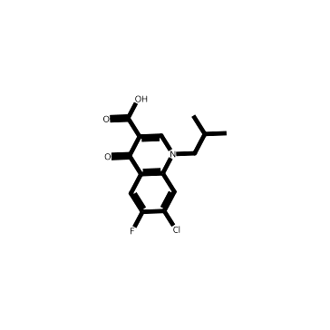 CC(C)Cn1cc(C(=O)O)c(=O)c2cc(F)c(Cl)cc21